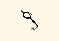 CCC#CC1=CCC(I)CO1